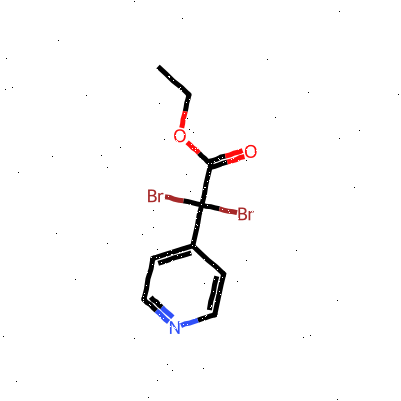 CCOC(=O)C(Br)(Br)c1ccncc1